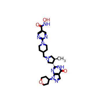 C[C@@H]1CN(CC2CCN(c3ncc(C(=O)NO)cn3)CC2)C[C@H]1c1nc2c(cnn2C2CCOCC2)c(=O)[nH]1